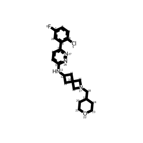 Fc1ccc(Cl)c(-c2ccc(NC3CC4(C3)CN(CC3CCOCC3)C4)nn2)c1